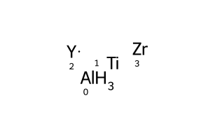 [AlH3].[Ti].[Y].[Zr]